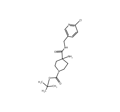 CC(C)(C)OC(=O)N1CCC(N)(C(=O)NCc2ccc(Cl)nc2)CC1